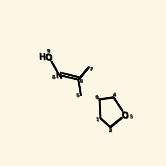 C1CCOC1.CC(C)=NO